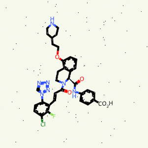 O=C(O)c1ccc(NC(=O)[C@@H]2c3cccc(OCCC4CCNCC4)c3CCN2C(=O)/C=C/c2c(-n3cnnn3)ccc(Cl)c2F)cc1